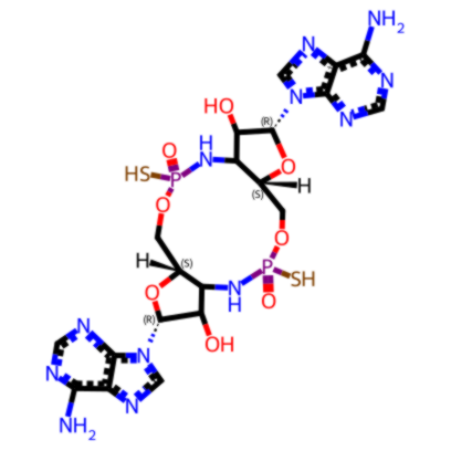 Nc1ncnc2c1ncn2[C@@H]1O[C@@H]2COP(=O)(S)NC3C(O)[C@H](n4cnc5c(N)ncnc54)O[C@@H]3COP(=O)(S)NC2C1O